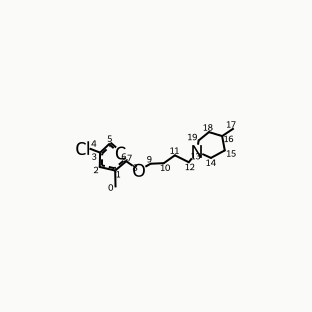 Cc1cc(Cl)ccc1OCCCCN1CCC(C)CC1